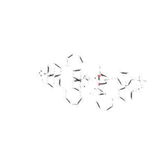 CC1=CC2=C(C=CC=CC2c2cc(C)c(C(C)(C)C)c(C)c2)[C]12[SiH](C)[C]1(C(C)=CC3=C1C=CC=CC3c1cc(C)c(C(C)(C)C)c(C)c1)[Hf]21([Cl])([Cl])[C]2(C(C)=CC3=C2C=CC=CC3c2cc(C)c(C(C)(C)C)c(C)c2)[SiH](C)[C]12C(C)=CC1=C2C=CC=CC1c1cc(C)c(C(C)(C)C)c(C)c1